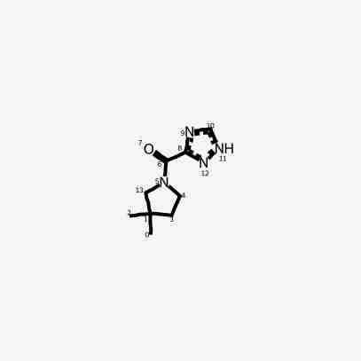 CC1(C)CCN(C(=O)c2nc[nH]n2)C1